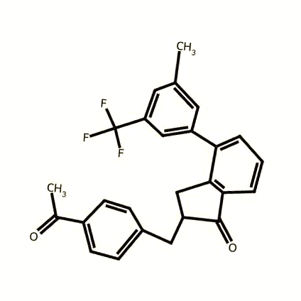 CC(=O)c1ccc(CC2Cc3c(cccc3-c3cc(C)cc(C(F)(F)F)c3)C2=O)cc1